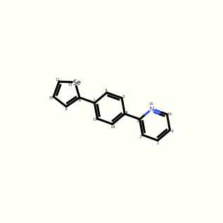 c1ccc(-c2ccc(-c3ccc[se]3)cc2)nc1